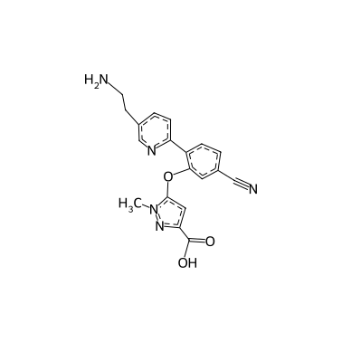 Cn1nc(C(=O)O)cc1Oc1cc(C#N)ccc1-c1ccc(CCN)cn1